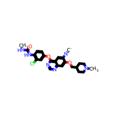 [C-]#[N+]c1cc2c(Oc3ccc(NC(=O)NC)c(Cl)c3)ncnc2cc1OCC1CCN(C)CC1